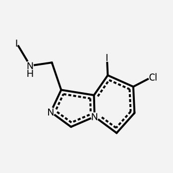 Clc1ccn2cnc(CNI)c2c1I